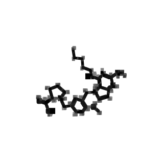 CCCCCNc1nc(N)nc2ccn(Cc3cc(CN4CCC[C@@H]4C(=O)O)ccc3OC)c12